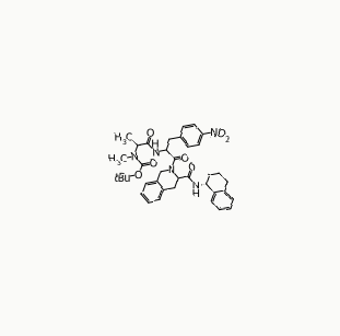 CC(C(=O)NC(Cc1ccc([N+](=O)[O-])cc1)C(=O)N1Cc2ccccc2CC1C(=O)N[C@@H]1CCCc2ccccc21)N(C)C(=O)OC(C)(C)C